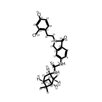 C[C@H]1[C@@H](NC(=S)Nc2ccc3c(c2)CN(CCc2ccc(Cl)cc2Cl)C3=O)C[C@@H]2C[C@@H]1C2(C)C